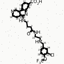 O=C(CCCNc1nc2cc(C(=O)O)ccc2c2cnccc12)NCCNCc1ccc(OC(F)(F)F)c(Cl)c1